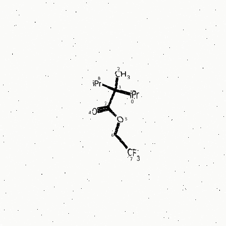 CC(C)C(C)(C(=O)OCC(F)(F)F)C(C)C